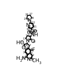 Cc1cc2c(F)c(CC(C(=O)O)N3CCC(NS(=O)(=O)c4ccc(N5CCCC5)nc4)C3=O)ccc2c(N)n1